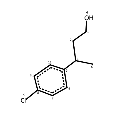 CC(CCO)c1ccc(Cl)cc1